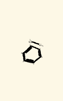 [Li][Cl].c1ccccc1